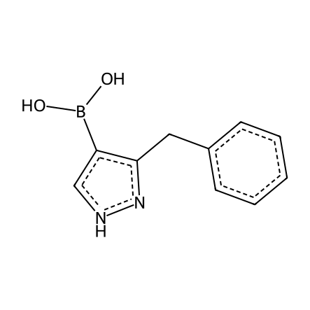 OB(O)c1c[nH]nc1Cc1ccccc1